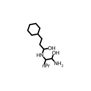 CCCC(NC(O)CCC1CCCCC1)C(N)O